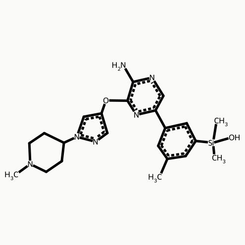 Cc1cc(-c2cnc(N)c(Oc3cnn(C4CCN(C)CC4)c3)n2)cc([Si](C)(C)O)c1